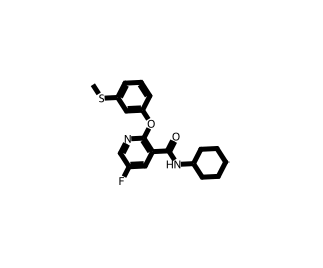 CSc1cccc(Oc2ncc(F)cc2C(=O)NC2CC[CH]CC2)c1